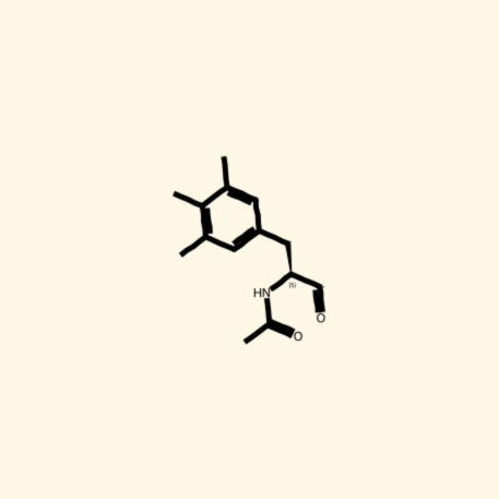 CC(=O)N[C@H]([C]=O)Cc1cc(C)c(C)c(C)c1